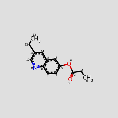 CCC(=O)Oc1ccc2ncc(CC)cc2c1